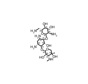 CN[C@@H]1[C@@H](O)[C@@H](O[C@@H]2[C@@H](O)[C@H](O[C@H]3O[C@H](CN)[C@@H](O)[C@H](O)[C@H]3N)[C@@H](N)C[C@H]2N)OC[C@]1(C)O